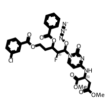 COC(=O)C[C@H](Nc1ccn(C(ON=[N+]=[N-])[C@@H](F)C(CCOC(=O)c2cccc(Cl)c2)OC(=O)c2ccccc2)c(=O)n1)C(=O)OC